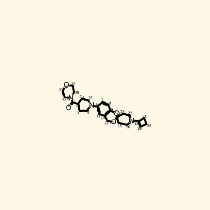 O=C(C1CCN(c2ccc3c(c2)COC2(CCN(C4CCC4)CC2)O3)CC1)N1CCOCC1